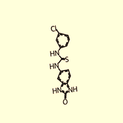 O=c1[nH]c2ccc(NC(=S)Nc3cccc(Cl)c3)cc2[nH]1